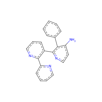 Nc1ccnc(-c2cccnc2-c2ccccn2)c1-c1ccccc1